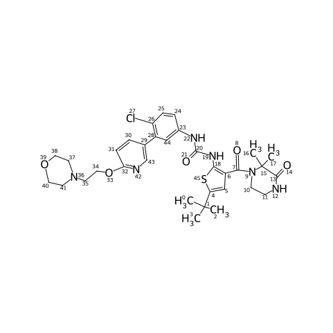 CC(C)(C)c1cc(C(=O)N2CCNC(=O)C2(C)C)c(NC(=O)Nc2ccc(Cl)c(-c3ccc(OCCN4CCOCC4)nc3)c2)s1